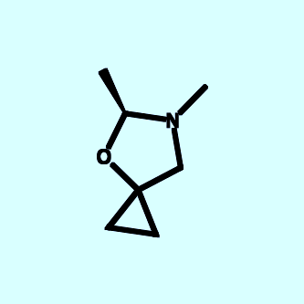 C[C@@H]1OC2(CC2)CN1C